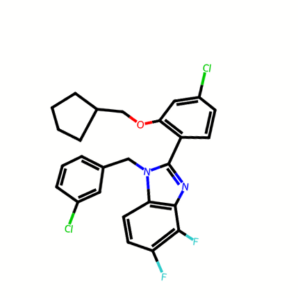 Fc1ccc2c(nc(-c3ccc(Cl)cc3OCC3CCCC3)n2Cc2cccc(Cl)c2)c1F